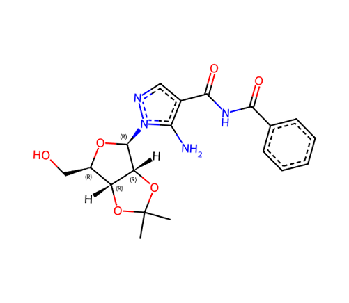 CC1(C)O[C@@H]2[C@H](O1)[C@@H](CO)O[C@H]2n1ncc(C(=O)NC(=O)c2ccccc2)c1N